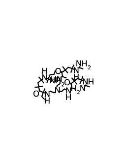 CCCC(C)(N)NC(C)(C)CC(C)(C)C(=O)C(C)(CC)NCCN(CCNC(C)C(=O)C(C)(C)CC(C)(C)NC(C)N)CCNC(C)C(=O)C(C)(C)CC(C)(C)NC(C)N